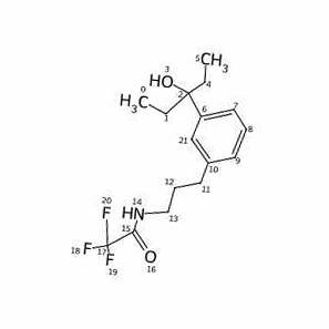 CCC(O)(CC)c1cccc(CCCNC(=O)C(F)(F)F)c1